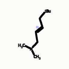 CN(C)C/C=C/CC(C)(C)C